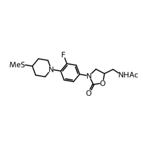 CSC1CCN(c2ccc(N3CC(CNC(C)=O)OC3=O)cc2F)CC1